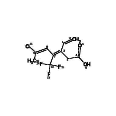 C=C/C(CC(=O)O)=C(\C=C(/C)Cl)C(F)(F)F